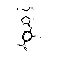 Cc1cc([N+](=O)[O-])ccc1/N=C1/N[C@@H](C(C)C)CS1